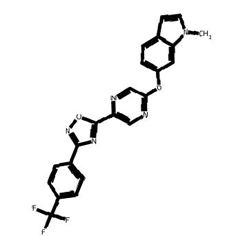 Cn1[c]cc2ccc(Oc3cnc(-c4nc(-c5ccc(C(F)(F)F)cc5)no4)cn3)cc21